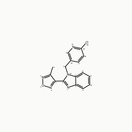 Cc1nonc1-c1nc2ccccc2n1Cc1ccc(Cl)nc1